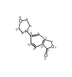 O=C1OCc2cc(N3CCOCC3)ccc21